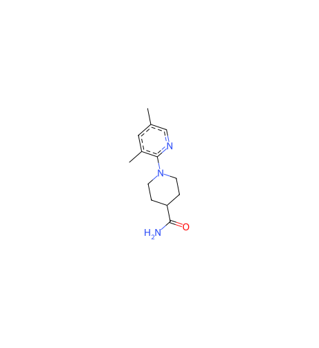 Cc1cnc(N2CCC(C(N)=O)CC2)c(C)c1